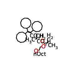 C=C(C)C(=O)O.C=C(C)C(=O)OCCOCCCCCCCC.O=C(O)C(=C(C1CCCCCCCCC1)C1CCCCCCCCC1)C1CCCCCCCCC1